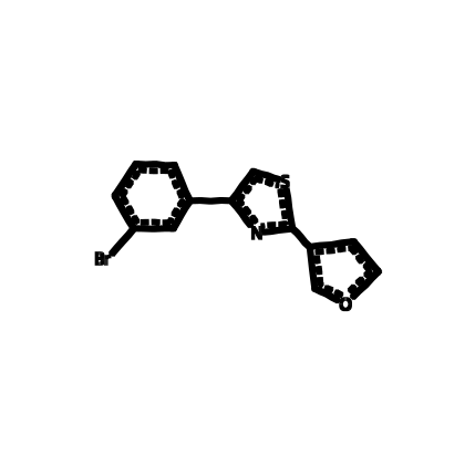 Brc1cccc(-c2csc(-c3ccoc3)n2)c1